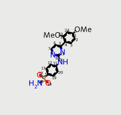 COc1ccc(-c2ccnc(Nc3ccc(S(N)(=O)=O)cc3)n2)c(OC)c1